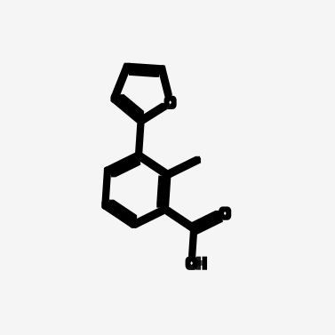 Cc1c(C(=O)O)cccc1-c1ccco1